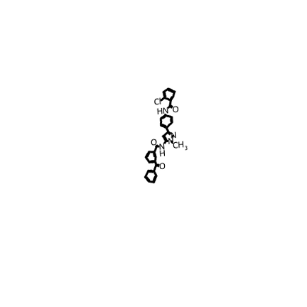 Cn1nc(-c2ccc(NC(=O)c3ccccc3Cl)cc2)cc1NC(=O)c1cccc(C(=O)c2ccccc2)c1